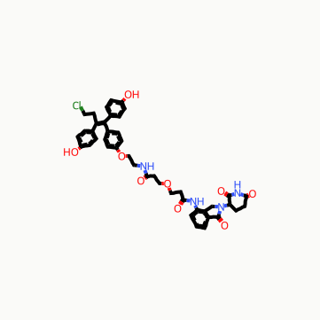 O=C(CCOCCC(=O)Nc1cccc2c1CN(C1CCC(=O)NC1=O)C2=O)NCCOc1ccc(C(=C(CCCl)c2ccc(O)cc2)c2ccc(O)cc2)cc1